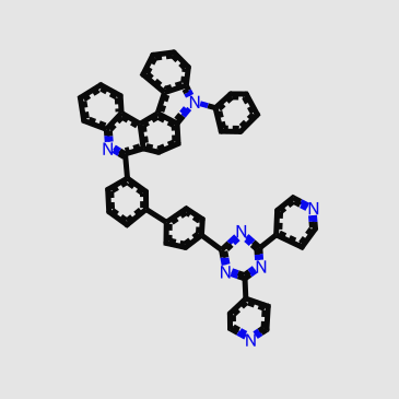 c1ccc(-n2c3ccccc3c3c4c(ccc32)c(-c2cccc(-c3ccc(-c5nc(-c6ccncc6)nc(-c6ccncc6)n5)cc3)c2)nc2ccccc24)cc1